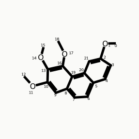 COc1ccc2ccc3cc(OC)c(OC)c(OC)c3c2c1